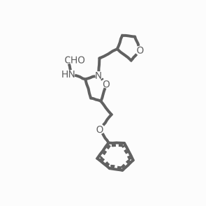 O=CNC1CC(COc2ccccc2)ON1CC1CCOC1